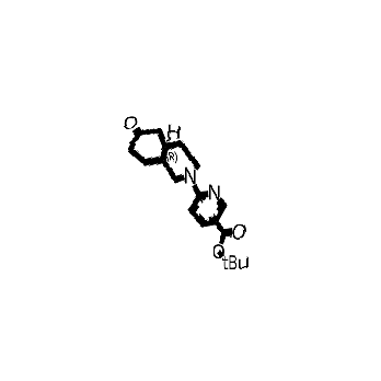 CC(C)(C)OC(=O)c1ccc(N2CC[C@@H]3CC(=O)CCC3C2)nc1